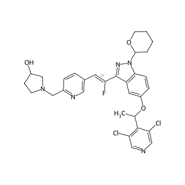 CC(Oc1ccc2c(c1)c(/C(F)=C/c1ccc(CN3CCC(O)C3)nc1)nn2C1CCCCO1)c1c(Cl)cncc1Cl